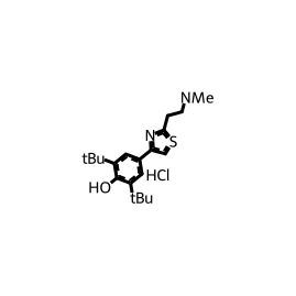 CNCCc1nc(-c2cc(C(C)(C)C)c(O)c(C(C)(C)C)c2)cs1.Cl